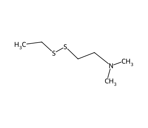 CCSSCCN(C)C